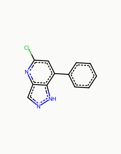 Clc1cc(-c2ccccc2)c2[nH]ncc2n1